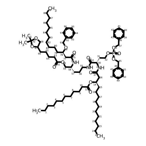 CCCCCCCCCCCC(=O)O[C@H](CCCCCCCCCCC)CC(=O)N[C@@H](CCOP(=O)(OCc1ccccc1)OCc1ccccc1)C(=O)NCCC[C@H](COC(=O)CCCCC1COC(C)(C)O1)NC(=O)C[C@@H](CCCCCCCCCCC)OCc1ccccc1